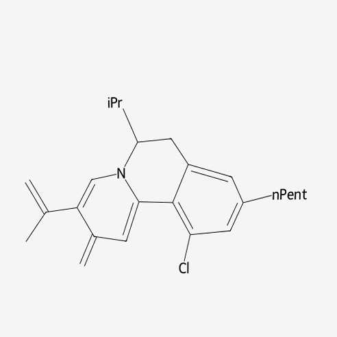 C=C(C)C1=CN2C(=CC1=C)c1c(Cl)cc(CCCCC)cc1CC2C(C)C